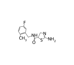 Cc1ccc(F)cc1CNC(=O)C1CN=C(N)S1